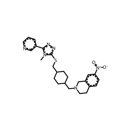 Cn1c(SCC2CCC(CN3CCc4ccc([N+](=O)[O-])cc4C3)CC2)nnc1-c1cccnc1